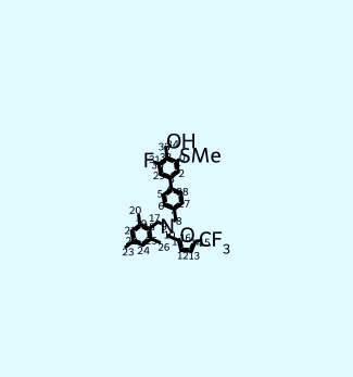 CSc1cc(-c2ccc(CN(Cc3ccc(C(F)(F)F)o3)Cc3c(C)cc(C)cc3C)cc2)cc(F)c1CO